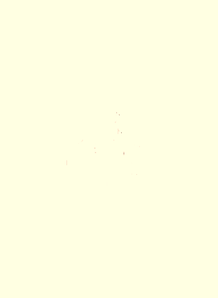 Cl.OC1(c2ccc3c(c2)OCO3)C(c2ccc(F)cc2)SC2=NCCCCN21